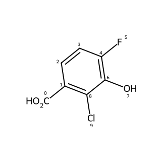 O=C(O)c1ccc(F)c(O)c1Cl